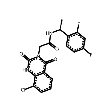 C[C@H](NC(=O)Cn1c(=O)[nH]c2c(Cl)cccc2c1=O)c1ccc(F)cc1F